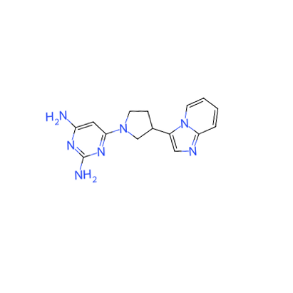 Nc1cc(N2CCC(c3cnc4ccccn34)C2)nc(N)n1